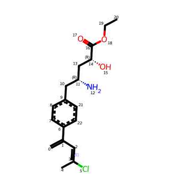 C=C(/C=C(\C)Cl)c1ccc(C[C@@H](N)C[C@@H](O)C(=O)OCC)cc1